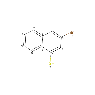 Sc1cc(Br)cc2ccccc12